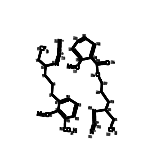 COc1c(CCCC(CC(F)(F)F)N=[N+]=[N-])cccc1C(=O)O.COc1ccccc1C(=O)OCCCC(CC(F)(F)F)N=[N+]=[N-]